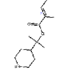 C/C=C(\C)C(=O)OC(C)(C)C1CCNCC1